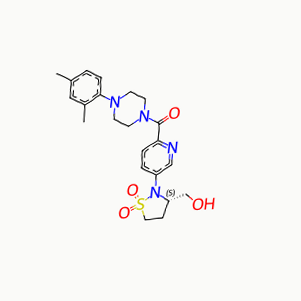 Cc1ccc(N2CCN(C(=O)c3ccc(N4[C@H](CO)CCS4(=O)=O)cn3)CC2)c(C)c1